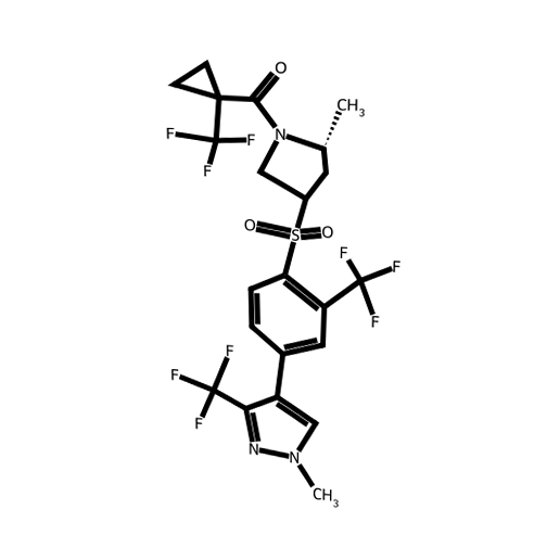 C[C@@H]1CC(S(=O)(=O)c2ccc(-c3cn(C)nc3C(F)(F)F)cc2C(F)(F)F)CN1C(=O)C1(C(F)(F)F)CC1